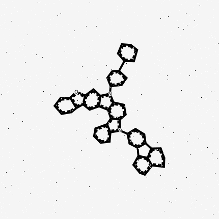 c1ccc(-c2ccc(-n3c4cc5oc6ccccc6c5cc4c4c5c6ccccc6n(-c6ccc7c(c6)-c6cccc8cccc-7c68)c5ccc43)cc2)cc1